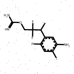 CC(c1cc(N)c(I)cc1F)C(F)(F)COC(=N)N